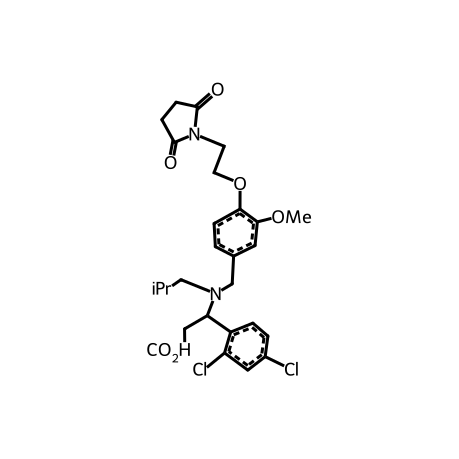 COc1cc(CN(CC(C)C)C(CC(=O)O)c2ccc(Cl)cc2Cl)ccc1OCCN1C(=O)CCC1=O